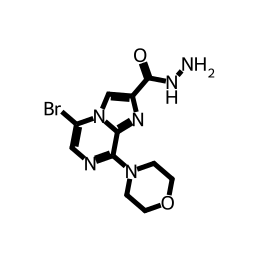 NNC(=O)c1cn2c(Br)cnc(N3CCOCC3)c2n1